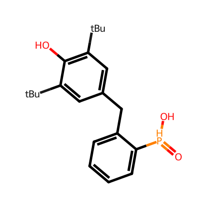 CC(C)(C)c1cc(Cc2ccccc2[PH](=O)O)cc(C(C)(C)C)c1O